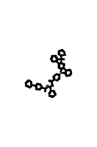 C=C(/N=C(\N=C(/C)c1ccc(-c2ccccc2)cc1)c1ccccc1)c1ccc(-n2c3ccccc3c3cc4c(cc32)-c2ccccc2C4(C)c2ccccc2)cc1